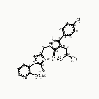 CCOC(=O)c1ncccc1-n1nc(Cn2nc(-c3ccc(Cl)cc3)n(C[C@H](O)C(F)(F)F)c2=O)nc1Br